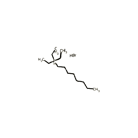 Br.CCCCCCCC[PH](CC)(CC)CC